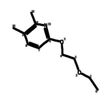 CCOCCOc1ccc(C)c(C)n1